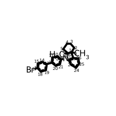 CC12CCCCC1(C)N(c1ccc(-c3ccc(Br)cc3)cc1)c1ccccc12